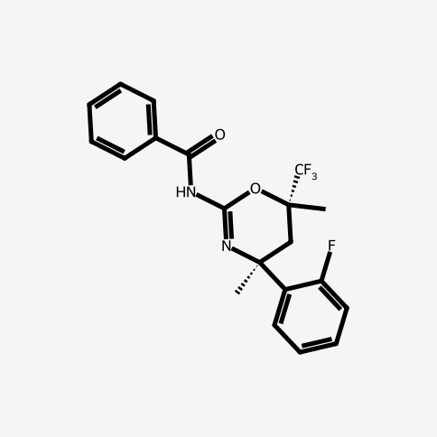 C[C@@]1(c2ccccc2F)C[C@@](C)(C(F)(F)F)OC(NC(=O)c2ccccc2)=N1